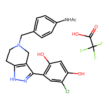 CC(=O)Nc1ccc(CN2CCc3[nH]nc(-c4cc(Cl)c(O)cc4O)c3C2)cc1.O=C(O)C(F)(F)F